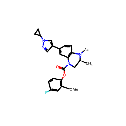 COc1cc(F)ccc1OC(=O)N1C[C@H](C)N(C(C)=O)c2ccc(-c3cnn(C4CC4)c3)cc21